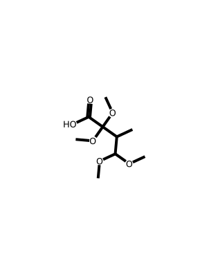 COC(OC)C(C)C(OC)(OC)C(=O)O